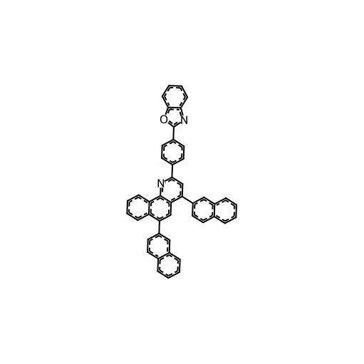 c1ccc2cc(-c3cc4c(-c5ccc6ccccc6c5)cc(-c5ccc(-c6nc7ccccc7o6)cc5)nc4c4ccccc34)ccc2c1